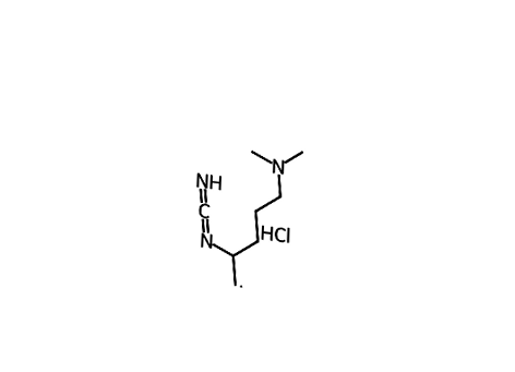 Cl.[CH2]C(CCCN(C)C)N=C=N